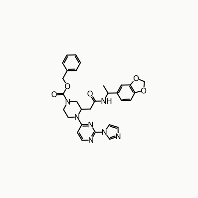 CC(NC(=O)CC1CN(C(=O)OCc2ccccc2)CCN1c1ccnc(-n2ccnc2)n1)c1ccc2c(c1)OCO2